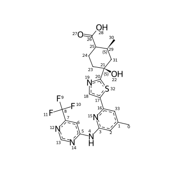 Cc1cc(Nc2cc(C(F)(F)F)ncn2)nc(-c2cnc([C@]3(O)CCC(C(=O)O)[C@@H](C)C3)s2)c1